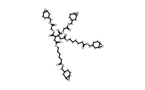 O=C(CCCCCOC(=O)CC(C(=O)OCC(=O)OCC1CCC2OC2C1)C(CC(=O)OCCCCCC(=O)OCC1CCC2OC2C1)C(=O)OCC(=O)OCC1CCC2OC2C1)OCC1CCC2OC2C1